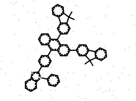 CC1(C)c2ccccc2-c2cc(-c3c4ccccc4c(-c4ccc(-c5nc6ccccc6n5-c5ccccc5)cc4)c4ccc(-c5ccc6c(c5)C(C)(C)c5ccccc5-6)cc34)ccc21